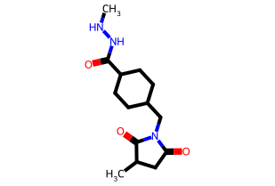 CNNC(=O)C1CCC(CN2C(=O)CC(C)C2=O)CC1